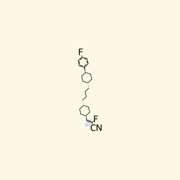 N#C/C(F)=C/[C@H]1CC[C@H](CCCC[C@H]2CC[C@H](c3ccc(F)cc3)CC2)CC1